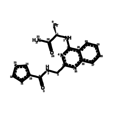 CC(C)[C@H](Nc1nc(CNC(=O)c2ccsc2)nc2ccccc12)C(N)=O